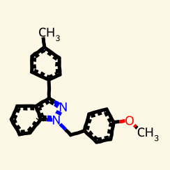 COc1ccc(Cn2nc(-c3ccc(C)cc3)c3ccccc32)cc1